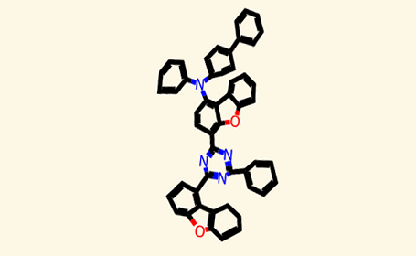 C1=Cc2oc3cccc(-c4nc(-c5ccccc5)nc(-c5ccc(N(c6ccccc6)c6ccc(-c7ccccc7)cc6)c6c5oc5ccccc56)n4)c3c2CC1